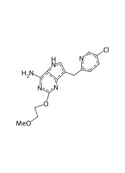 COCCOc1nc(N)c2[nH]cc(Cc3ccc(Cl)cn3)c2n1